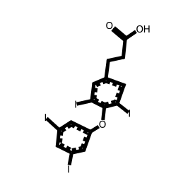 O=C(O)CCc1cc(I)c(Oc2cc(I)cc(I)c2)c(I)c1